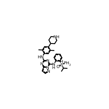 Cc1cc(C2CCNCC2)c(C)cc1Nc1nc(Nc2ccccc2[SH](=O)(P)C(C)C)n2nccc2n1